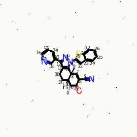 C[C@H]1C(=O)C(C#N)=C[C@@]2(C)c3c(c(-c4cccnc4)nn3-c3cc4ccccc4s3)CC[C@H]12